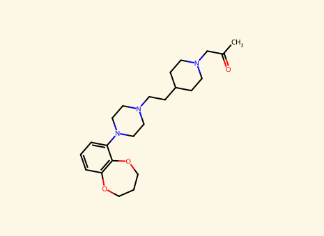 CC(=O)CN1CCC(CCN2CCN(c3cccc4c3OCCCO4)CC2)CC1